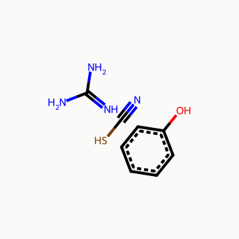 N#CS.N=C(N)N.Oc1ccccc1